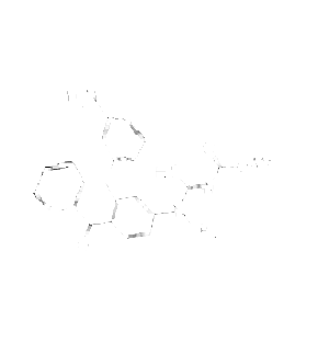 CCCCN(C(S)=NC(=O)OC)c1ccc(C(=O)c2ccccc2)c(Cc2cccc(N)c2)c1